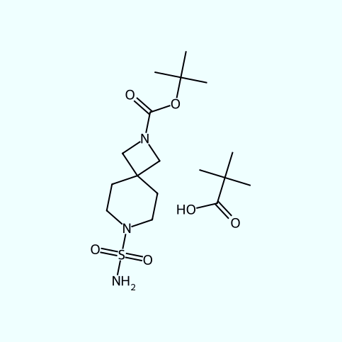 CC(C)(C)C(=O)O.CC(C)(C)OC(=O)N1CC2(CCN(S(N)(=O)=O)CC2)C1